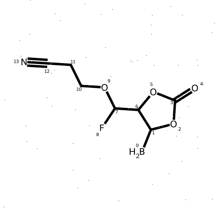 BC1OC(=O)OC1C(F)OCCC#N